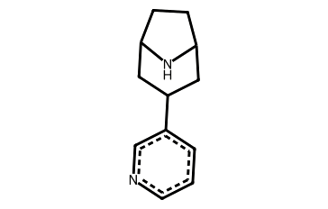 c1cncc(C2CC3CCC(C2)N3)c1